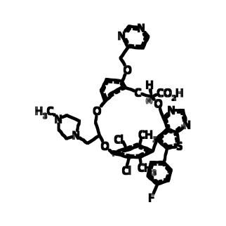 Cc1c(Cl)c2c(Cl)c(C)c1-c1c(-c3ccc(F)cc3)sc3ncnc(c13)O[C@@H](C(=O)O)Cc1cc(ccc1OCc1ccncn1)OCC(CN1CCN(C)CC1)O2